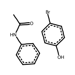 CC(=O)Nc1ccccc1.Oc1ccc(Br)cc1